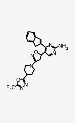 Nc1ncc(C2CC(N3CCC(c4nnc(C(F)(F)F)o4)CC3)=NO2)c(C2=Cc3ccccc3C2)n1